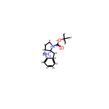 CC(C)(C)OC(=O)N1CC[C@@H](N)C1Cc1ccccc1